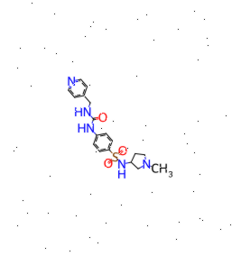 CN1CCC(NS(=O)(=O)c2ccc(NC(=O)NCc3ccncc3)cc2)C1